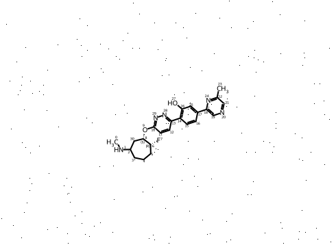 CNC1CCC[C@@H](F)[C@@H](Oc2ccc(-c3ccc(-c4cncc(C)n4)cc3O)nn2)C1